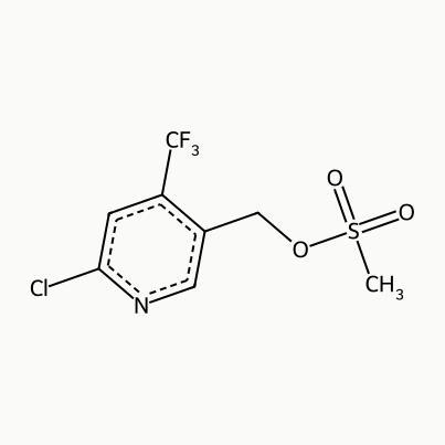 CS(=O)(=O)OCc1cnc(Cl)cc1C(F)(F)F